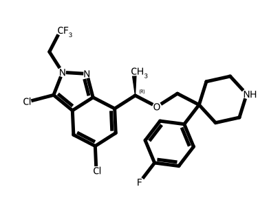 C[C@@H](OCC1(c2ccc(F)cc2)CCNCC1)c1cc(Cl)cc2c(Cl)n(CC(F)(F)F)nc12